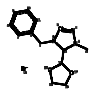 CN1N=[C+]N(Cc2ccccc2)C1C1OCCO1.[Br-]